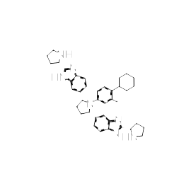 Fc1cc(N2[C@@H](c3ccc4nc([C@@H]5CCCN5)[nH]c4c3)CC[C@@H]2c2ccc3nc([C@@H]4CCCN4)[nH]c3c2)ccc1C1CCCCC1